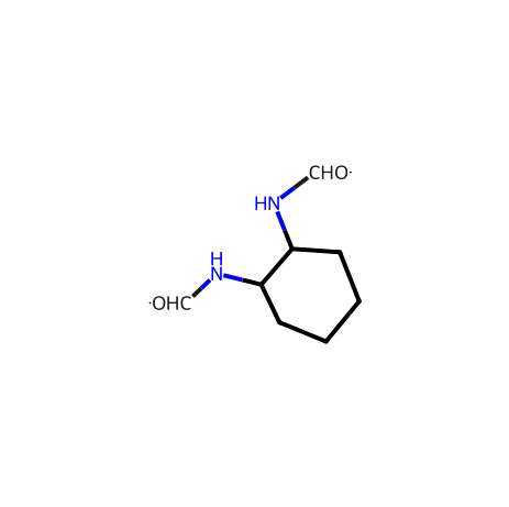 O=[C]NC1CCCCC1N[C]=O